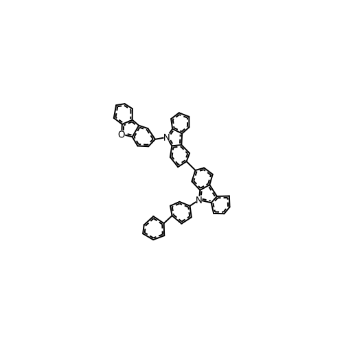 c1ccc(-c2ccc(-n3c4ccccc4c4ccc(-c5ccc6c(c5)c5ccccc5n6-c5ccc6oc7ccccc7c6c5)cc43)cc2)cc1